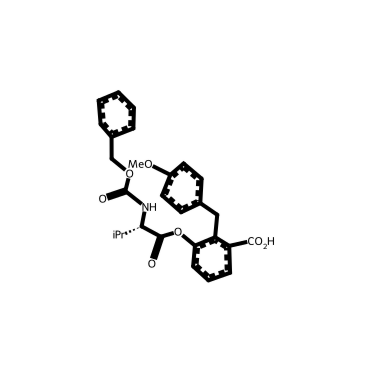 COc1ccc(Cc2c(OC(=O)[C@@H](NC(=O)OCc3ccccc3)C(C)C)cccc2C(=O)O)cc1